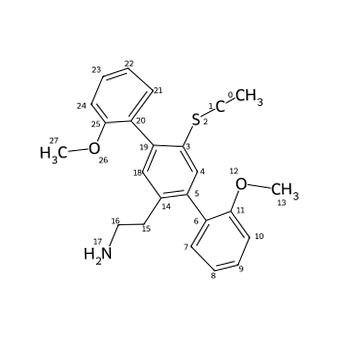 CCSc1cc(-c2ccccc2OC)c(CCN)cc1-c1ccccc1OC